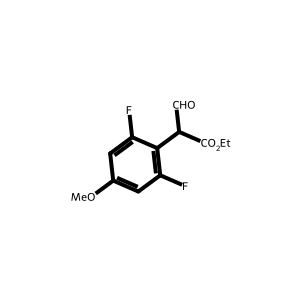 CCOC(=O)C(C=O)c1c(F)cc(OC)cc1F